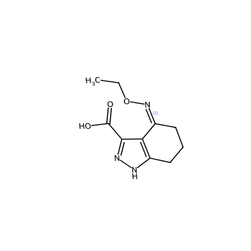 CCO/N=C1/CCCc2[nH]nc(C(=O)O)c21